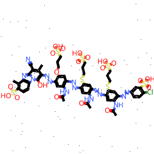 CC(=O)Nc1cc(N=Nc2cc(SCCCS(=O)(=O)O)c(N=Nc3cc(OCCCS(=O)(=O)O)c(N=Nc4c(C)c(C#N)c5nc6c(C)c(S(=O)(=O)O)ccc6n5c4O)cc3NC(C)=O)cc2NC(C)=O)c(SCCCS(=O)(=O)O)cc1N=Nc1ccc(Cl)c(S(=O)(=O)O)c1